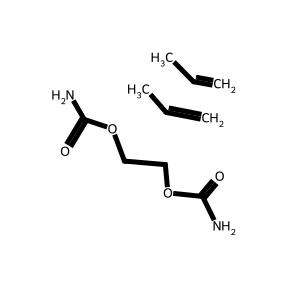 C=CC.C=CC.NC(=O)OCCOC(N)=O